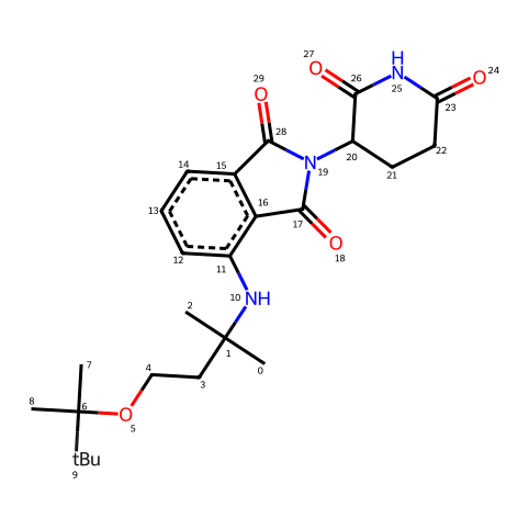 CC(C)(CCOC(C)(C)C(C)(C)C)Nc1cccc2c1C(=O)N(C1CCC(=O)NC1=O)C2=O